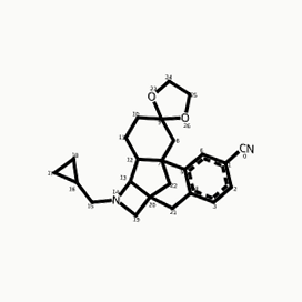 N#Cc1ccc2c(c1)C13CC4(CCC1C1N(CC5CC5)CC1(C2)C3)OCCO4